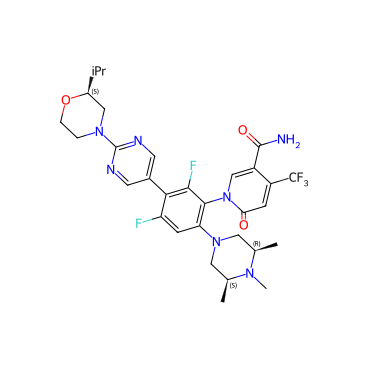 CC(C)[C@H]1CN(c2ncc(-c3c(F)cc(N4C[C@@H](C)N(C)[C@@H](C)C4)c(-n4cc(C(N)=O)c(C(F)(F)F)cc4=O)c3F)cn2)CCO1